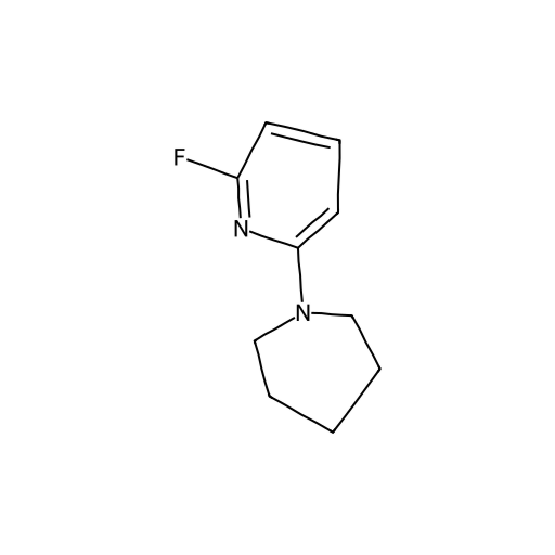 Fc1cccc(N2CCCCC2)n1